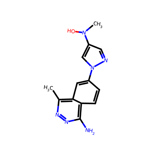 Cc1nnc(N)c2ccc(-n3cc(N(C)O)cn3)cc12